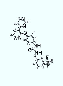 Cc1cc(NC(=O)NSc2cccc(C(F)(F)F)c2)ccc1Oc1ncccc1-c1ccncn1